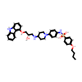 CCCCOc1ccc(S(=O)(=O)Nc2ccc(N3CCC(NC[C@H](O)COc4cccc5[nH]c6ccccc6c45)CC3)cc2)cc1